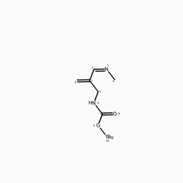 C=C(/C=N\C)CNC(=O)OC(C)(C)C